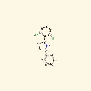 Fc1cccc(F)c1C1=NC(c2ccccc2)CC1